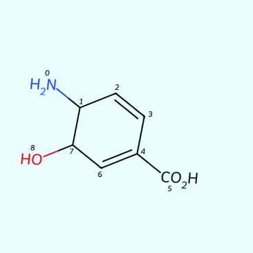 NC1C=CC(C(=O)O)=CC1O